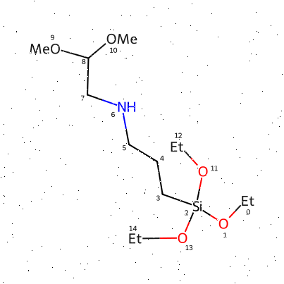 CCO[Si](CCCNCC(OC)OC)(OCC)OCC